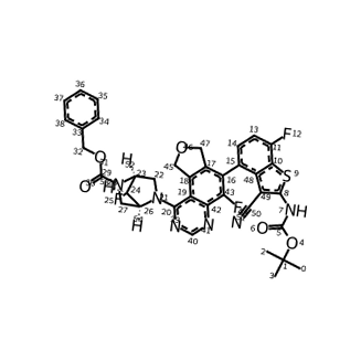 CC(C)(C)OC(=O)Nc1sc2c(F)ccc(-c3c4c(c5c(N6C[C@H]7[C@H](F)[C@@H]6CN7C(=O)OCc6ccccc6)ncnc5c3F)COC4)c2c1C#N